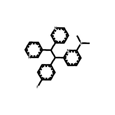 CN(C)c1cccc(C(c2ccc(F)cc2)C(c2cccnc2)c2cccnc2)n1